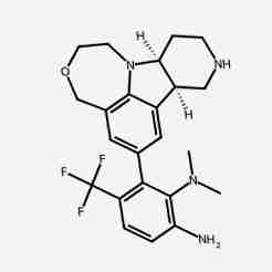 CN(C)c1c(N)ccc(C(F)(F)F)c1-c1cc2c3c(c1)[C@@H]1CNCC[C@@H]1N3CCOC2